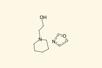 OCCN1CCCCC1.c1cocn1